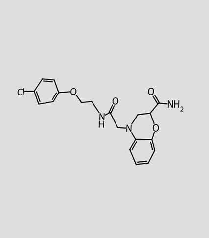 NC(=O)C1CN(CC(=O)NCCOc2ccc(Cl)cc2)c2ccccc2O1